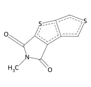 CN1C(=O)c2sc3cscc3c2C1=O